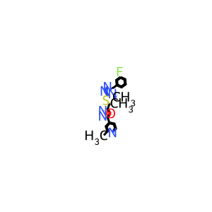 Cc1cc(-c2nnc(C(C)Sc3nnc(-c4cccc(F)c4)n3C)o2)ccn1